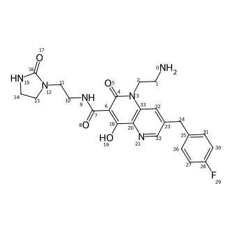 NCCn1c(=O)c(C(=O)NCCN2CCNC2=O)c(O)c2ncc(Cc3ccc(F)cc3)cc21